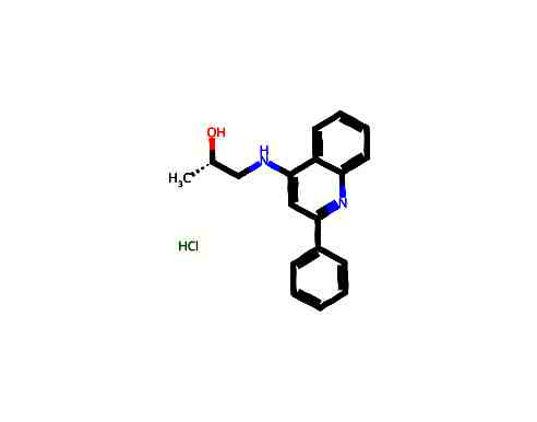 C[C@H](O)CNc1cc(-c2ccccc2)nc2ccccc12.Cl